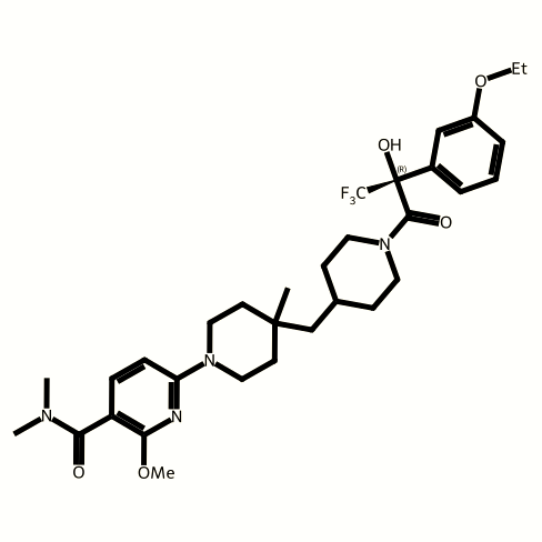 CCOc1cccc([C@@](O)(C(=O)N2CCC(CC3(C)CCN(c4ccc(C(=O)N(C)C)c(OC)n4)CC3)CC2)C(F)(F)F)c1